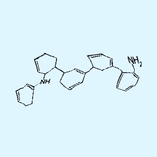 Nc1ccccc1C1=CC=CC(C2=CC(C3CCC=CC3NC3=CC=CCC3)CC=C2)C1